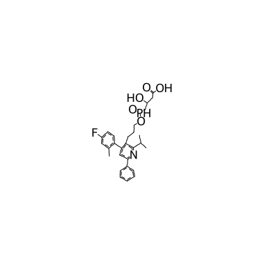 Cc1cc(F)ccc1-c1cc(-c2ccccc2)nc(C(C)C)c1CCCO[PH](=O)CC(O)CC(=O)O